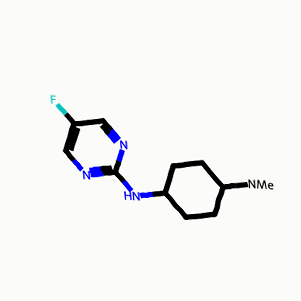 CNC1CCC(Nc2ncc(F)cn2)CC1